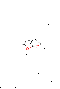 CC1CC2CCOC2O1